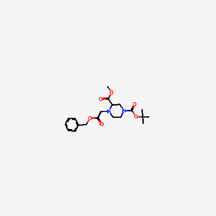 COC(=O)C1CN(C(=O)OC(C)(C)C)CCN1CC(=O)OCc1ccccc1